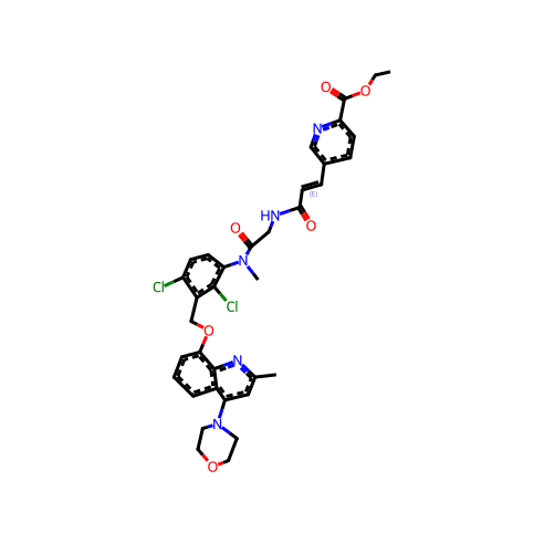 CCOC(=O)c1ccc(/C=C/C(=O)NCC(=O)N(C)c2ccc(Cl)c(COc3cccc4c(N5CCOCC5)cc(C)nc34)c2Cl)cn1